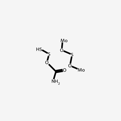 NC(=O)OSS.[Mo][O]S[O][Mo]